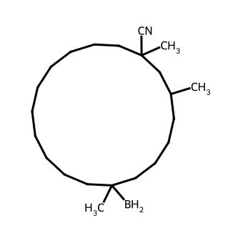 BC1(C)CCCCCCCCCCC(C)(C#N)CC(C)CCCC1